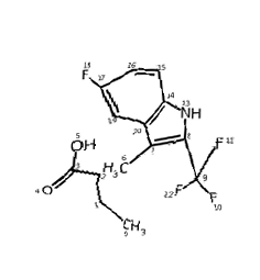 CCCC(=O)O.Cc1c(C(F)(F)F)[nH]c2ccc(F)cc12